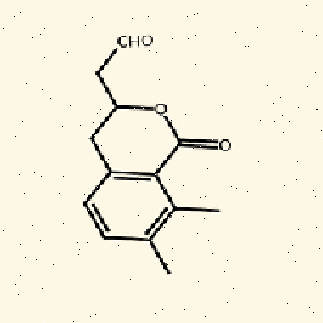 Cc1ccc2c(c1C)C(=O)OC(CC=O)C2